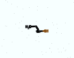 C[CH2][Sn][SH]